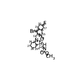 COC(=O)NC1CC2(C1)C(=O)N(Cc1ncc3cc(F)ccc3c1Br)c1ccccc12